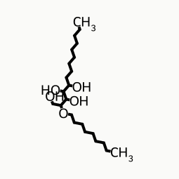 CCCCCCCCCOC(CO)C(O)C(O)C(O)CCCCCCCCC